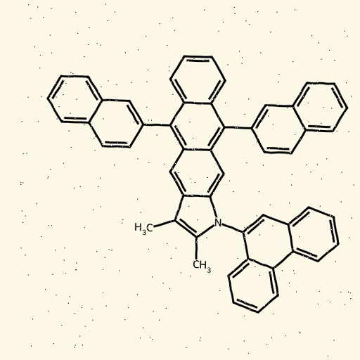 Cc1c(C)n(-c2cc3ccccc3c3ccccc23)c2cc3c(-c4ccc5ccccc5c4)c4ccccc4c(-c4ccc5ccccc5c4)c3cc12